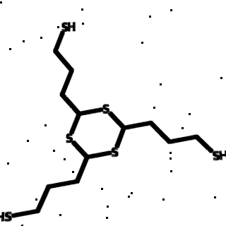 SCCCC1SC(CCCS)SC(CCCS)S1